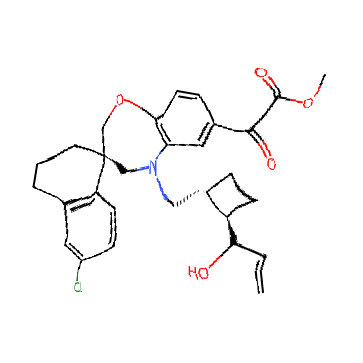 C=CC(O)[C@@H]1CC[C@H]1CN1C[C@@]2(CCCc3cc(Cl)ccc32)COc2ccc(C(=O)C(=O)OC)cc21